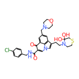 O=C(NCc1ccc(Cl)cc1)c1cn2cc(CCN3CCSCC3(O)O)c3cc(CN4CCOCC4)cc(c1=O)c32